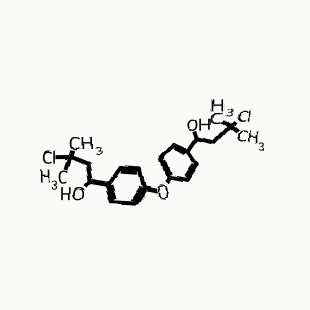 CC(C)(Cl)CC(O)c1ccc(Oc2ccc(C(O)CC(C)(C)Cl)cc2)cc1